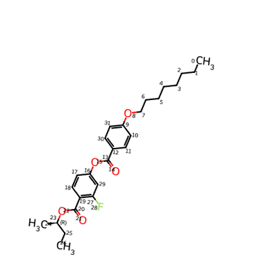 CCCCCCCCOc1ccc(C(=O)Oc2ccc(C(=O)O[C@H](C)CC)c(F)c2)cc1